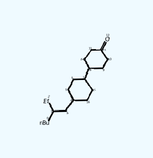 CCCCC(CC)CC1CCC(C2CCC(=O)CC2)CC1